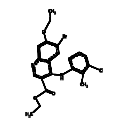 CCOC(=O)c1cnc2cc(OCC)c(Br)cc2c1Nc1cccc(Cl)c1C